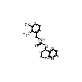 Cc1c(Cl)cccc1CNC(=O)OC1CCOc2ncccc21